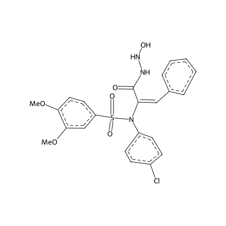 COc1ccc(S(=O)(=O)N(C(=Cc2ccccc2)C(=O)NNO)c2ccc(Cl)cc2)cc1OC